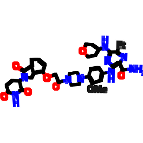 CCc1nc(C(N)=O)c(Nc2ccc(N3CCN(C(=O)COc4cccc5c4CN(C4CCC(=O)NC4=O)C5=O)CC3)c(OC)c2)nc1NC1CCOCC1